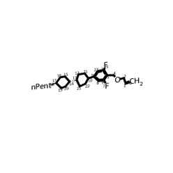 C=CCOCc1c(F)cc(C2CCC([C@H]3CC[C@H](CCCCC)CC3)CC2)cc1F